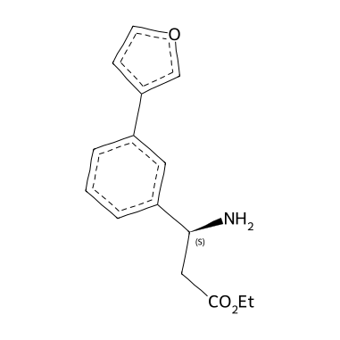 CCOC(=O)C[C@H](N)c1cccc(-c2ccoc2)c1